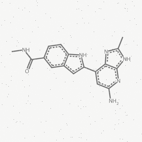 CNC(=O)c1ccc2[nH]c(-c3cc(N)nc4[nH]c(C)nc34)cc2c1